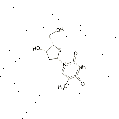 Cc1cn([C@@H]2C[C@H](O)[C@H](CO)S2)c(=O)[nH]c1=O